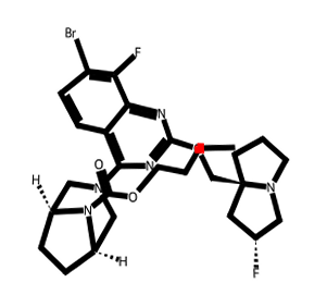 CCCCOC(=O)N1[C@@H]2CC[C@H]1CN(c1nc(OC[C@@]34CCCN3C[C@H](F)C4)nc3c(F)c(Br)ccc13)C2